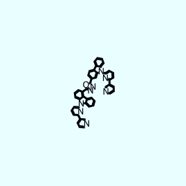 c1cncc(-c2cccc(-n3c4ccccc4c4ccc(-c5nnc(-c6cccc7c6c6ccccc6n7-c6cccc(-c7cccnc7)n6)o5)cc43)n2)c1